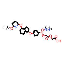 CNOB(OCC(=O)OCC(=O)O)c1ccc(O[C@@H]2CCc3c(Oc4cccc(OC)n4)cccc32)cc1